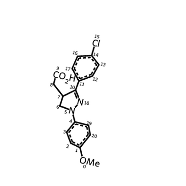 COc1ccc(N2CC(CC(=O)O)C(c3ccc(Cl)cc3)=N2)cc1